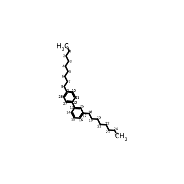 CCCCCCCCCc1ccc(-c2[c]ccc(CCCCCCCC)c2)cc1